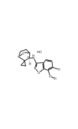 CCOc1c(Cl)ccc2c(N[C@@H]3C4CCN(CC4)C34CC4)noc12.Cl